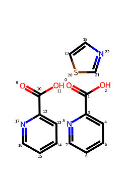 O=C(O)c1ccccn1.O=C(O)c1ccccn1.c1cscn1